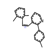 Cc1ccc(-c2ncccc2/C=C\c2c(C)cccc2C)cc1